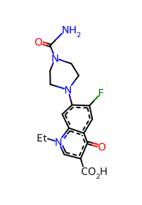 CCn1cc(C(=O)O)c(=O)c2cc(F)c(N3CCN(C(N)=O)CC3)cc21